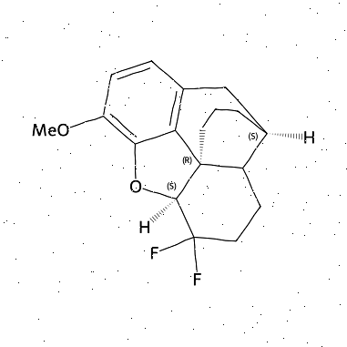 COc1ccc2c3c1O[C@@H]1C(F)(F)CCC4[C@@H](CCC[C@]341)C2